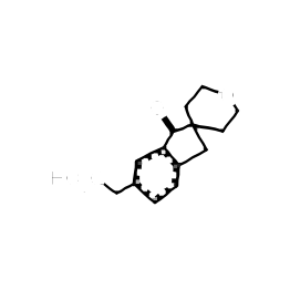 O=C(O)Cc1ccc2c(c1)C(=O)C1(CCOCC1)C2